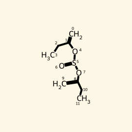 C=C(CC)OS(=O)OC(=C)CC